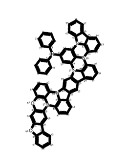 c1ccc(N(c2ccccc2)c2cc3c4c(c2)-n2c5cc6c(cc5c5cccc(c52)B4c2cccc4c5ccccc5n-3c24)c2cccc3c2n6-c2cccc4c2B3c2cc3c(cc2O4)oc2ccccc23)cc1